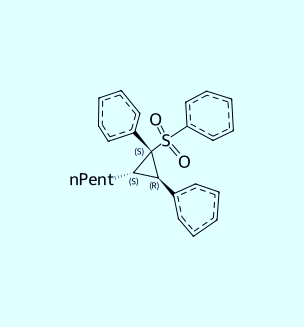 CCCCC[C@H]1[C@H](c2ccccc2)[C@@]1(c1ccccc1)S(=O)(=O)c1ccccc1